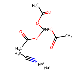 CC(=O)O[BH-](OC(C)=O)OC(C)=O.[BH3-]C#N.[Na+].[Na+]